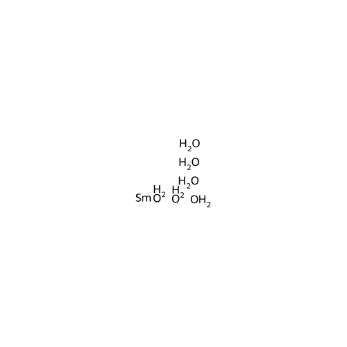 O.O.O.O.O.O.[Sm]